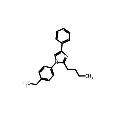 [CH2]Cc1ccc(-n2cc(-c3ccccc3)nc2CCCC)cc1